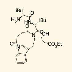 CCOC(=O)CC(O)[C@@H]1Cc2cn(c3ccccc23)C(=O)CCC(=O)N1C(=O)[C@@H](NC(=O)[C@@H](N)[C@@H](C)CC)[C@@H](C)CC